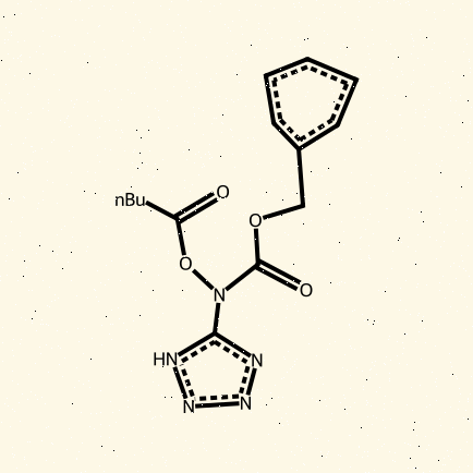 CCCCC(=O)ON(C(=O)OCc1ccccc1)c1nnn[nH]1